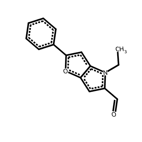 CCn1c(C=O)cc2oc(-c3ccccc3)cc21